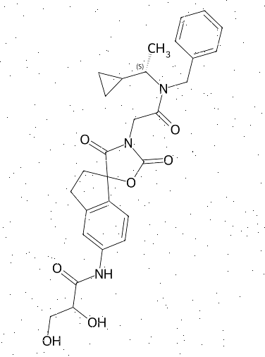 C[C@@H](C1CC1)N(Cc1ccccc1)C(=O)CN1C(=O)OC2(CCc3cc(NC(=O)C(O)CO)ccc32)C1=O